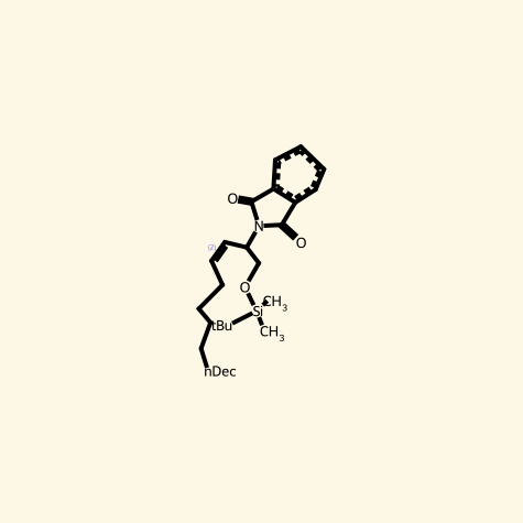 CCCCCCCCCCCCCC/C=C\C(CO[Si](C)(C)C(C)(C)C)N1C(=O)c2ccccc2C1=O